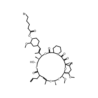 C=CCC1/C=C(\C)C[C@H](C)C[C@H](OC)[C@@H]2OC(O)(C(=O)C(=O)N3CCCCC3C(=O)O[C@H](/C(C)=C/C3CC[C@@H](OC(=O)CCCCBr)C(OC)C3)[C@H](C)[C@@H](O)CC1=O)C(C)CC2OC